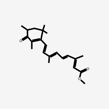 COC(=O)C=C(C)C=CC=C(C)C=CC1=C(C)C(=O)C(C)CC1(C)C